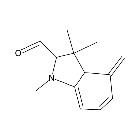 C=C1C=CC=C2C1C(C)(C)C(C=O)N2C